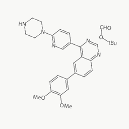 CC(C)(C)OC=O.COc1ccc(-c2ccc3ncnc(-c4ccc(N5CCNCC5)nc4)c3c2)cc1OC